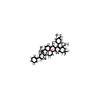 CC1(C)Cc2nc(C3CCN(c4ncc(C5=CCCCC5)cn4)CC3)c(C(F)c3ccc(C(F)(F)F)cc3)c(C3CCC(F)(F)CC3)c2[C@@H](O)C1